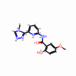 COc1ccc(O)c(C(=O)Nc2cccc(-c3nncn3C)n2)c1